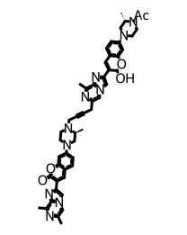 CC(=O)N1CCN(c2ccc3c(c2)OC(O)C(c2cn4cc(CC#CCN5CCN(c6ccc7cc(-c8cn9cc(C)nc(C)c9n8)c(=O)oc7c6)C[C@@H]5C)nc(C)c4n2)=C3)C[C@@H]1C